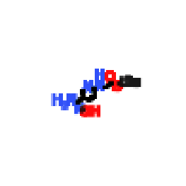 CC(C)(C)OC(=O)CNc1ccc(/C(N)=N\O)cn1